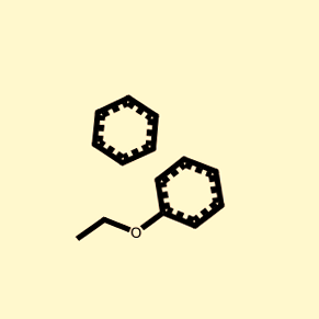 CCOc1ccccc1.c1ccccc1